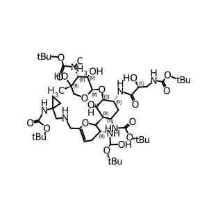 CN(C(=O)OC(C)(C)C)[C@@H]1[C@@H](O)[C@@H](O[C@@H]2[C@@H](O)[C@H](C3OC(CNCC4(NC(=O)OC(C)(C)C)CC4)=CC[C@H]3NC(O)OC(C)(C)C)[C@@H](NC(=O)OC(C)(C)C)C[C@H]2NC(=O)[C@@H](O)CNC(=O)OC(C)(C)C)OC[C@]1(C)O